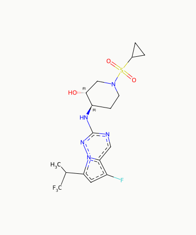 CC(c1cc(F)c2cnc(N[C@@H]3CCN(S(=O)(=O)C4CC4)C[C@H]3O)nn12)C(F)(F)F